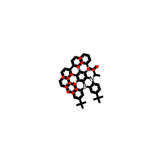 C=CB1c2ccccc2Sc2c1c1c3c(c2-c2c(-c4ccccc4)cccc2-c2ccccc2)N(c2c(F)cccc2F)c2ccc(C(C)(C)C)cc2B3c2cc(C(C)(C)C)ccc2N1C(C)C(C)C